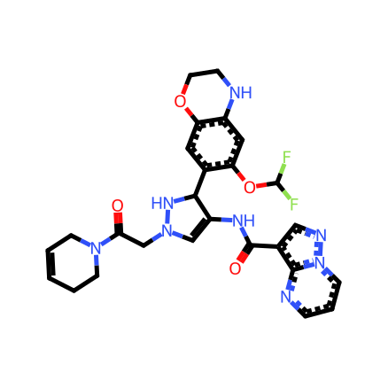 O=C(NC1=CN(CC(=O)N2CC=CCC2)NC1c1cc2c(cc1OC(F)F)NCCO2)c1cnn2cccnc12